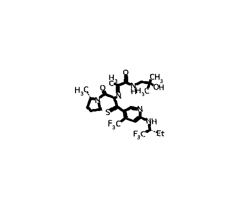 CC[C@@H](Nc1cc(C(F)(F)F)c(C(=S)C(/N=C(\C)C(=O)NCC(C)(C)O)C(=O)N2CCC[C@@H]2C)cn1)C(F)(F)F